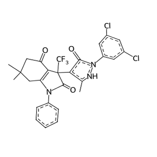 Cc1[nH]n(-c2cc(Cl)cc(Cl)c2)c(=O)c1C1(C(F)(F)F)C(=O)N(c2ccccc2)C2=C1C(=O)CC(C)(C)C2